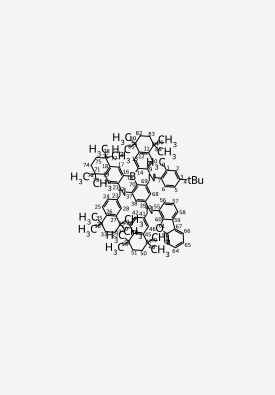 Cc1cc(C(C)(C)C)ccc1N1c2cc3c(cc2B2c4cc5c(cc4N(c4ccc6c(c4)C(C)(C)CCC6(C)C)c4cc(N(c6ccc7c(c6)C(C)(C)CCC7(C)C)c6cccc7c6oc6ccccc67)cc1c42)C(C)(C)CCC5(C)C)C(C)(C)CCC3(C)C